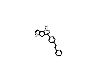 C(=Cc1ccc(-c2n[nH]c3c2Cc2sccc2-3)cc1)c1ccccc1